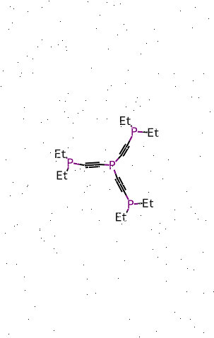 CCP(C#CP(C#CP(CC)CC)C#CP(CC)CC)CC